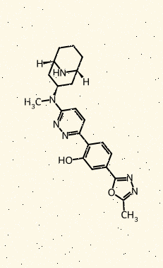 Cc1nnc(-c2ccc(-c3ccc(N(C)[C@@H]4C[C@H]5CCC[C@@H](C4)N5)nn3)c(O)c2)o1